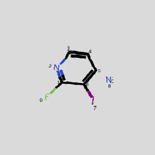 Fc1ncccc1I.[N]